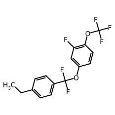 CCc1ccc(C(F)(F)Oc2ccc(OC(F)(F)F)c(F)c2)cc1